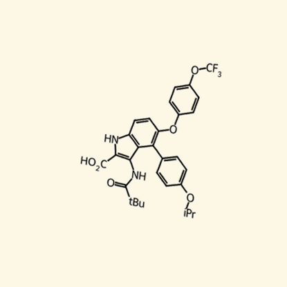 CC(C)Oc1ccc(-c2c(Oc3ccc(OC(F)(F)F)cc3)ccc3[nH]c(C(=O)O)c(NC(=O)C(C)(C)C)c23)cc1